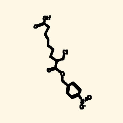 O=C(O)CCCCCCC(CCl)C(=O)OCc1ccc([N+](=O)[O-])cc1